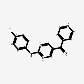 O=C(c1ccncc1)c1cnc(Nc2ccc(F)cc2)nc1